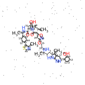 C=C(CCc1[nH]c2nnc(-c3ccccc3O)cc2c1C)NCCOc1cc([C@H](C(=O)N2C[C@H](O)C[C@H]2C(=O)N[C@@H](C)c2ccc(-c3scnc3C)cc2)C(C)C)on1